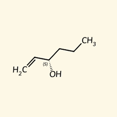 C=C[C@@H](O)CCC